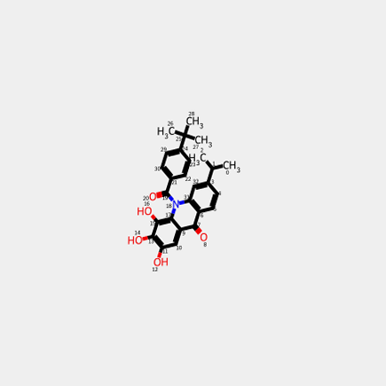 CC(C)c1ccc2c(=O)c3cc(O)c(O)c(O)c3n(C(=O)c3ccc(C(C)(C)C)cc3)c2c1